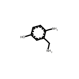 NCc1cc(O)ccc1N